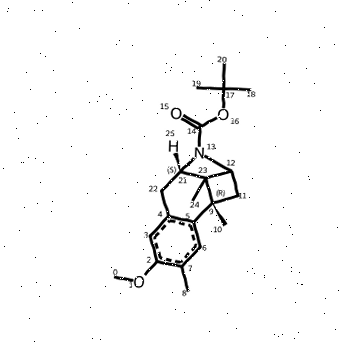 COc1cc2c(cc1C)[C@@]1(C)CC3N(C(=O)OC(C)(C)C)[C@@H](C2)C31C